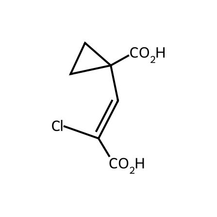 O=C(O)C(Cl)=CC1(C(=O)O)CC1